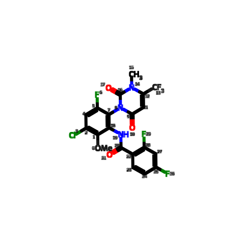 COc1c(Cl)cc(F)c(-n2c(=O)cc(C(F)(F)F)n(C)c2=O)c1NC(=O)c1ccc(F)cc1F